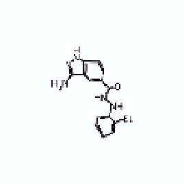 CCc1ccccc1NNC(=O)c1ccc2[nH]nc(N)c2c1